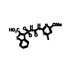 COc1cc(C)nc(NC(=O)NS(=O)(=O)c2c(C(=O)O)sc3ccccc23)n1